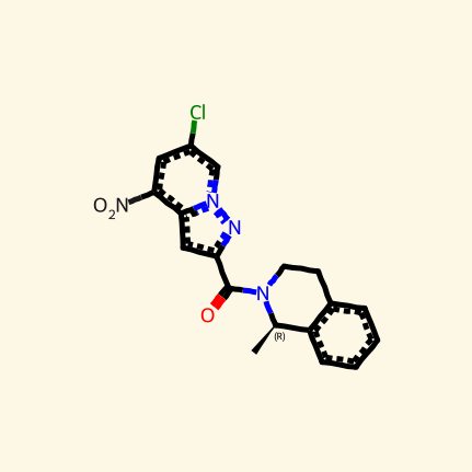 C[C@@H]1c2ccccc2CCN1C(=O)c1cc2c([N+](=O)[O-])cc(Cl)cn2n1